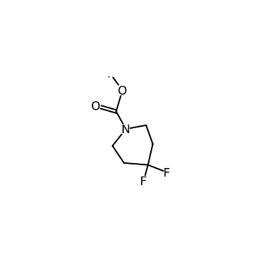 [CH2]OC(=O)N1CCC(F)(F)CC1